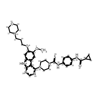 COc1cc2c(cc1OCCCN1CCOCC1)[nH]c1ncnc(N3CCN(C(=S)Nc4ccc(NC(=O)C5CC5)cc4)CC3)c12